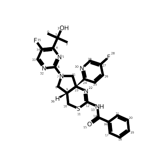 CC(C)(O)c1nc(N2C[C@H]3CSC(NC(=O)c4ccccc4)=N[C@@]3(c3ccc(F)cn3)C2)ncc1F